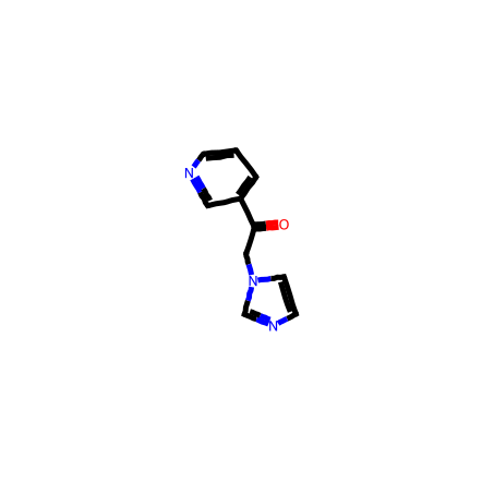 O=C(Cn1ccnc1)c1cccnc1